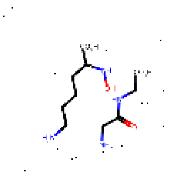 NCC(=O)NCC(=O)O.NCCCCC(NO)C(=O)O